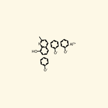 Cc1ccc2cccc(O)c2n1.[Al+3].[O-]c1ccccc1.[O-]c1ccccc1.[O-]c1ccccc1